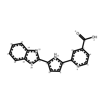 O=C(O)c1ccnc(-c2ccc(-c3nc4ccccc4s3)[nH]2)c1